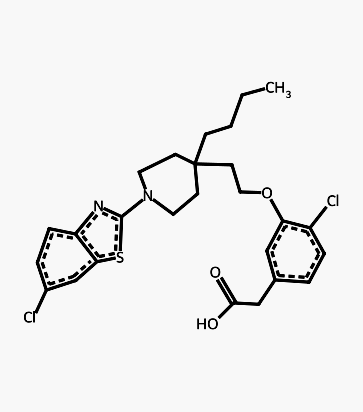 CCCCC1(CCOc2cc(CC(=O)O)ccc2Cl)CCN(c2nc3ccc(Cl)cc3s2)CC1